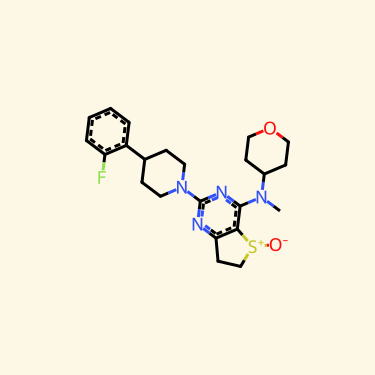 CN(c1nc(N2CCC(c3ccccc3F)CC2)nc2c1[S+]([O-])CC2)C1CCOCC1